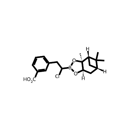 CC1(C)[C@@H]2C[C@H]3OB(C(Cl)Cc4cccc(C(=O)O)c4)O[C@@]3(C)[C@H]1C2